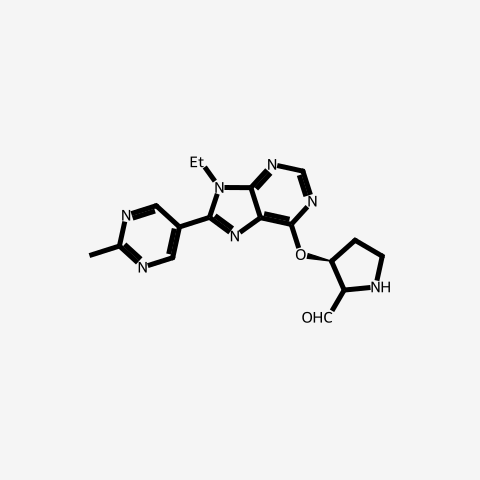 CCn1c(-c2cnc(C)nc2)nc2c(O[C@H]3CCNC3C=O)ncnc21